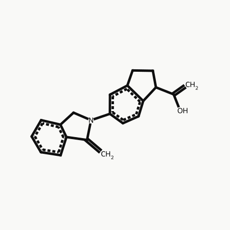 C=C(O)C1CCc2cc(N3Cc4ccccc4C3=C)ccc21